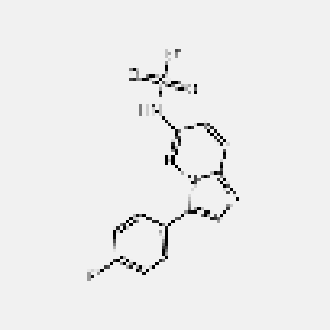 CCS(=O)(=O)Nc1ccc2ncc(-c3ccc(F)cc3)n2n1